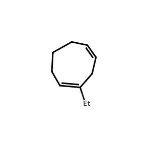 CCC1=CCCCC=CC1